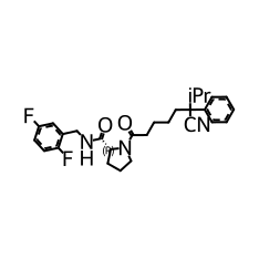 CC(C)C(C#N)(CCCCC(=O)N1CCC[C@@H]1C(=O)NCc1cc(F)ccc1F)c1ccccc1